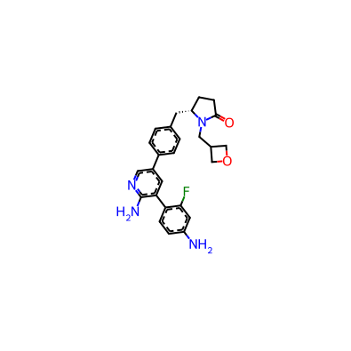 Nc1ccc(-c2cc(-c3ccc(C[C@@H]4CCC(=O)N4CC4COC4)cc3)cnc2N)c(F)c1